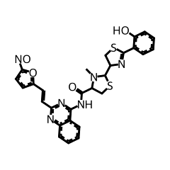 CN1C(C(=O)Nc2nc(/C=C/c3ccc(N=O)o3)nc3ccccc23)CSC1C1CSC(c2ccccc2O)=N1